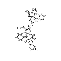 CCCCC1(CCCC)C(=O)[SH]c2cc(OCC(=O)N[C@@H](C(=O)N[C@@H](C)C(=O)O)c3ccccc3)c(SC)cc2N(c2ccccc2)C1=O